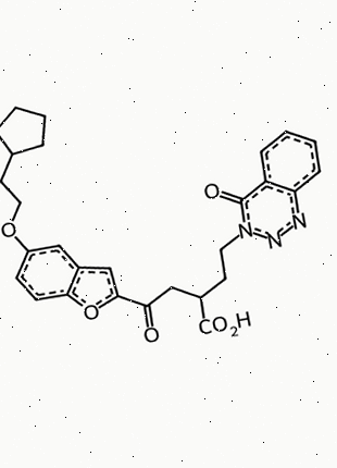 O=C(CC(CCn1nnc2ccccc2c1=O)C(=O)O)c1cc2cc(OCCC3CCCC3)ccc2o1